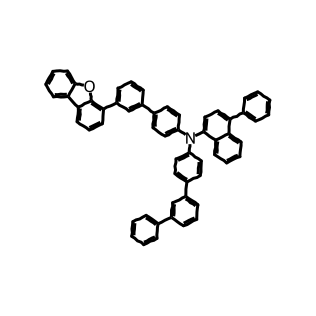 c1ccc(-c2cccc(-c3ccc(N(c4ccc(-c5cccc(-c6cccc7c6oc6ccccc67)c5)cc4)c4ccc(-c5ccccc5)c5ccccc45)cc3)c2)cc1